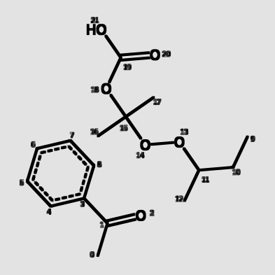 CC(=O)c1ccccc1.CCC(C)OOC(C)(C)OC(=O)O